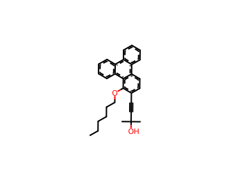 CCCCCCOc1c(C#CC(C)(C)O)ccc2c3ccccc3c3ccccc3c12